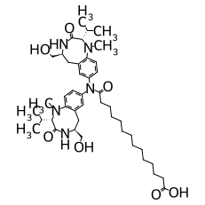 CC(C)[C@H]1C(=O)N[C@H](CO)Cc2cc(N(C(=O)CCCCCCCCCCCCC(=O)O)c3ccc4c(c3)C[C@@H](CO)NC(=O)[C@H](C(C)C)N4C)ccc2N1C